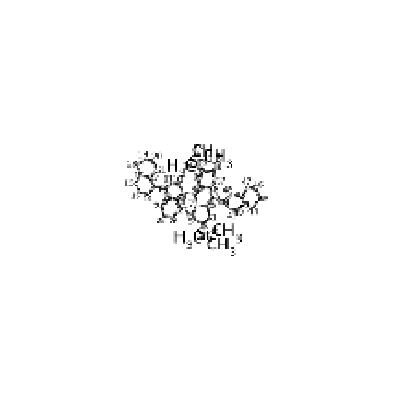 C[Si](C)(C)c1ccc2c(-c3ccc(-c4cccc5ccccc45)c4ccccc34)c3cc([Si](C)(C)C)ccc3c(-c3ccc4ccccc4c3)c2c1